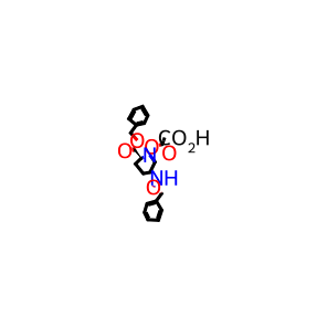 O=C(O)C(=O)ON1C[C@H](NOCc2ccccc2)CC[C@H]1C(=O)OCc1ccccc1